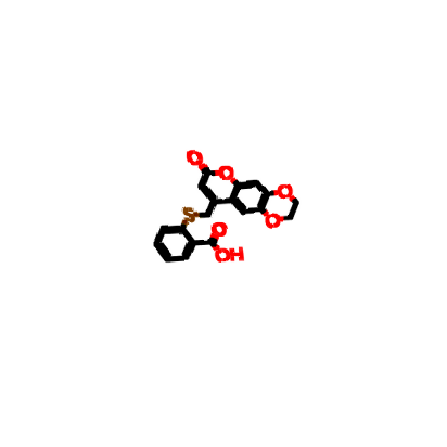 O=C(O)c1ccccc1SCc1cc(=O)oc2cc3c(cc12)OCCO3